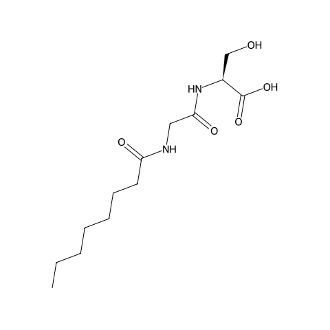 CCCCCCCC(=O)NCC(=O)N[C@@H](CO)C(=O)O